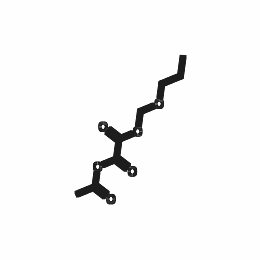 CCCOCOC(=O)C(=O)OC(C)=O